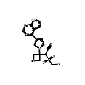 CCS(=O)(=O)C(C#N)C1(n2cc(-c3ncnc4[nH]ccc34)cn2)CNC1